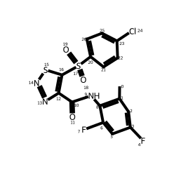 Cc1cc(F)cc(F)c1NC(=O)c1nnsc1S(=O)(=O)c1ccc(Cl)cc1